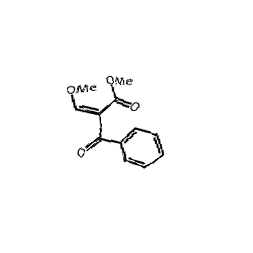 CO/C=C(\C(=O)OC)C(=O)c1ccccc1